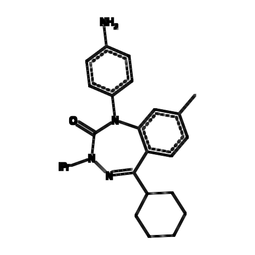 Cc1ccc2c(c1)N(c1ccc(N)cc1)C(=O)N(C(C)C)N=C2C1CCCCC1